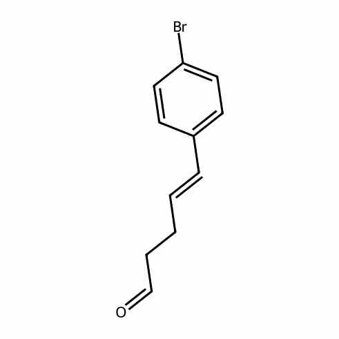 O=CCC/C=C/c1ccc(Br)cc1